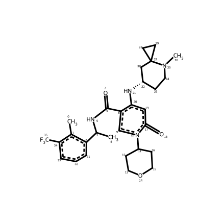 Cc1c(C(C)NC(=O)c2cn(C3CCOCC3)c(=O)cc2N[C@H]2CCN(C)C3(CC3)C2)cccc1C(F)(F)F